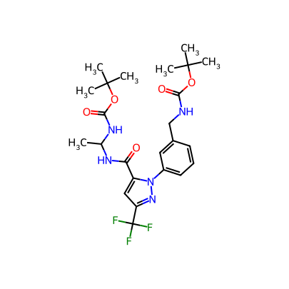 CC(NC(=O)OC(C)(C)C)NC(=O)c1cc(C(F)(F)F)nn1-c1cccc(CNC(=O)OC(C)(C)C)c1